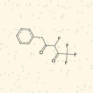 O=C(Cc1ccccc1)C(F)C(=O)C(F)(F)F